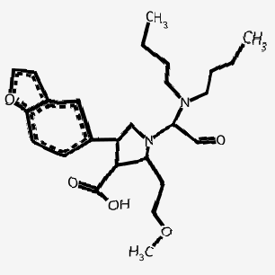 CCCCN(CCCC)C(C=O)N1CC(c2ccc3occc3c2)C(C(=O)O)C1CCOC